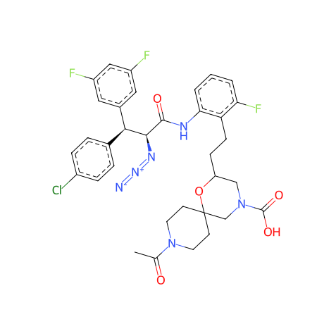 CC(=O)N1CCC2(CC1)CN(C(=O)O)CC(CCc1c(F)cccc1NC(=O)[C@@H](N=[N+]=[N-])[C@@H](c1ccc(Cl)cc1)c1cc(F)cc(F)c1)O2